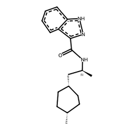 C[C@@H](C[C@H]1CC[C@@H](C)CC1)NC(=O)c1n[nH]c2ccccc12